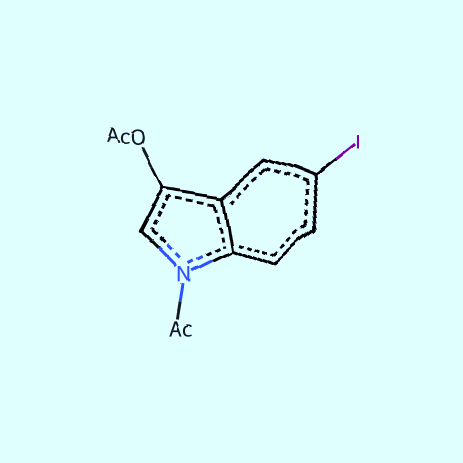 CC(=O)Oc1cn(C(C)=O)c2ccc(I)cc12